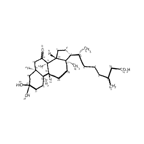 CC(CCC[C@@H](C)[C@H]1CC[C@H]2[C@@H]3C(=O)C[C@@H]4CC(O)(O)CC[C@]4(C)[C@H]3CC[C@]12C)CC(=O)O